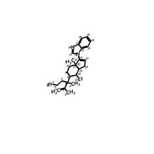 C=C(C)[C@](C)(CCC(C)C)C1CC[C@]2(C)C(n3cnc4ccccc43)=CCC2C1CC